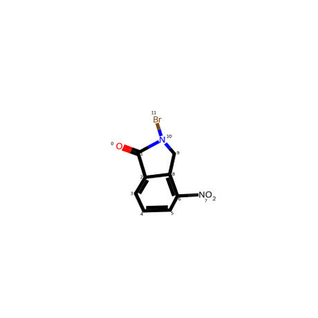 O=C1c2cccc([N+](=O)[O-])c2CN1Br